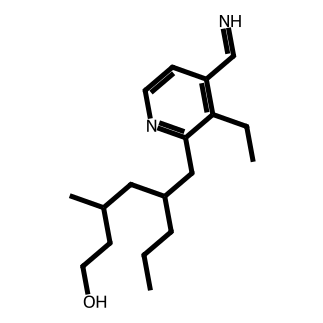 CCCC(Cc1nccc(C=N)c1CC)CC(C)CCO